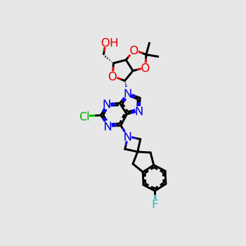 CC1(C)OC2C(O1)[C@@H](CO)O[C@H]2n1cnc2c(N3CC4(Cc5ccc(F)cc5C4)C3)nc(Cl)nc21